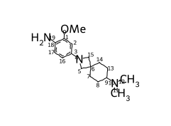 COc1cc(N2CC3(CCC(N(C)C)CC3)C2)ccc1N